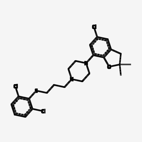 CC1(C)Cc2cc(Cl)cc(N3CCN(CCCSc4c(Cl)cccc4Cl)CC3)c2O1